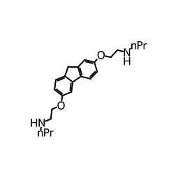 CCCNCCOc1ccc2c(c1)Cc1ccc(OCCNCCC)cc1-2